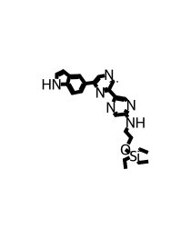 CC[Si](CC)(CC)OCCNc1cnc(-c2[c]ncc(-c3ccc4[nH]ccc4c3)n2)cn1